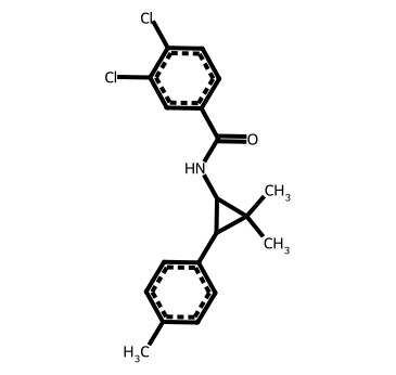 Cc1ccc(C2C(NC(=O)c3ccc(Cl)c(Cl)c3)C2(C)C)cc1